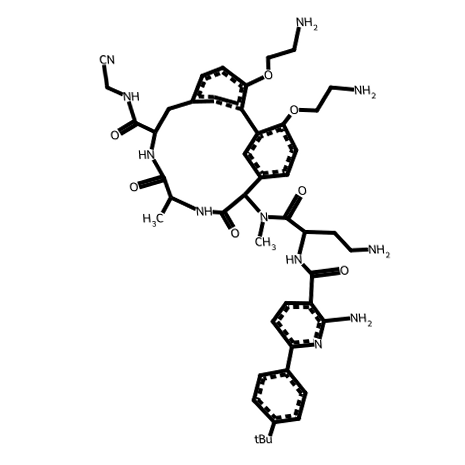 CC1NC(=O)C(N(C)C(=O)C(CCN)NC(=O)c2ccc(-c3ccc(C(C)(C)C)cc3)nc2N)c2ccc(OCCN)c(c2)-c2cc(ccc2OCCN)CC(C(=O)NCC#N)NC1=O